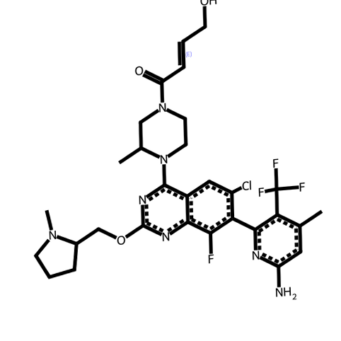 Cc1cc(N)nc(-c2c(Cl)cc3c(N4CCN(C(=O)/C=C/CO)CC4C)nc(OCC4CCCN4C)nc3c2F)c1C(F)(F)F